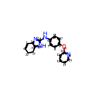 C1=Cc2nc(Nc3ccc(Oc4ccccn4)cc3)[nH]c2CC1